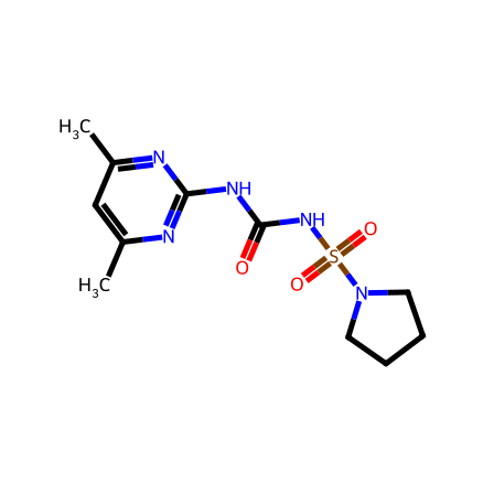 Cc1cc(C)nc(NC(=O)NS(=O)(=O)N2CCCC2)n1